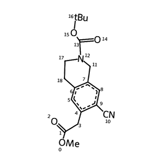 COC(=O)Cc1cc2c(cc1C#N)CN(C(=O)OC(C)(C)C)CC2